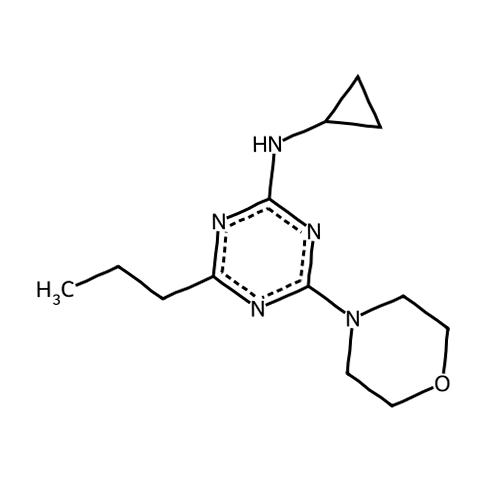 CCCc1nc(NC2CC2)nc(N2CCOCC2)n1